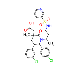 CC(CCNS(=O)(=O)c1cccnc1)N1C(=O)C(C)(CC(=O)O)CC(c2cccc(Cl)c2)C1c1ccc(Cl)cc1